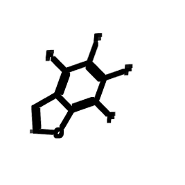 Fc1c(F)c(F)c2o[c]cc2c1F